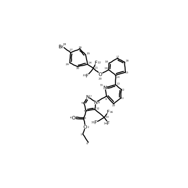 CCOC(=O)c1cnn(-c2cccc(-c3ccccc3OC(F)(F)c3ccc(Br)cc3)n2)c1C(F)(F)F